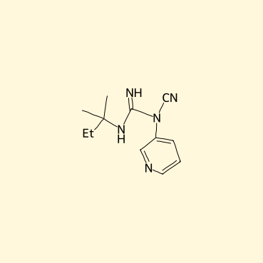 CCC(C)(C)NC(=N)N(C#N)c1cccnc1